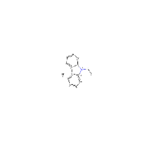 CCn1c2ccccc2c2ccccc21.[H+]